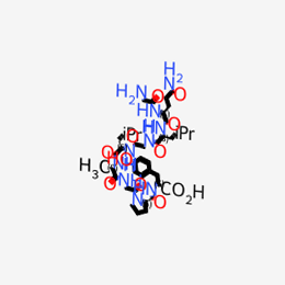 CC(C)C[C@H](NC(=O)CNC(=O)[C@H](CC(C)C)NC(=O)[C@H](CCC(N)=O)NC(=O)CN)C(=O)N[C@@H](C)C(=O)NCC(=O)N1CCC[C@H]1C(=O)N[C@@H](Cc1ccc(O)cc1)C(=O)O